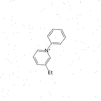 CCc1ccc[n+](-c2ccccc2)c1